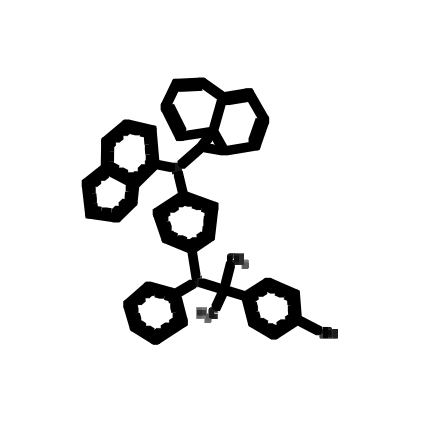 CC(C)(C)c1ccc(C(C)(C)N(c2ccccc2)c2ccc(N(c3cccc4ccccc34)C3C4C=CC=C5C=CC=CC543)cc2)cc1